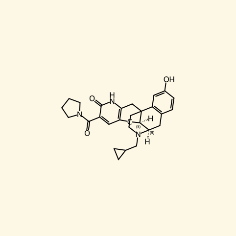 O=C(c1cc2c([nH]c1=O)CC13CCN(CC4CC4)[C@H](Cc4ccc(O)cc41)[C@H]3C2)N1CCCC1